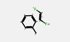 Cc1ccccc1.F/C=C/F